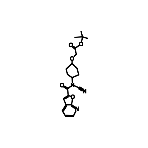 CC(C)(C)OC(=O)COC1CCC(N(C#N)C(=O)c2cc3cccnc3o2)CC1